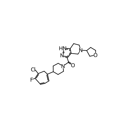 O=C(c1n[nH]c2c1CN(C1CCOC1)CC2)N1CCC(C2=CC=CC(F)=C(Cl)C2)CC1